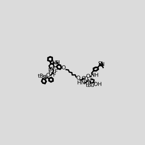 Cc1ncsc1-c1ccc(CNC(=O)[C@@H]2C[C@@H](O)CN2C(=O)[C@@H](NC(=O)COCCCCCCCOc2cc(F)c([C@@H]3c4[nH]c5ccccc5c4C[C@@H](C)N3CC(F)(F)CO[Si](c3ccccc3)(c3ccccc3)C(C)(C)C)c(F)c2)C(C)(C)C)cc1